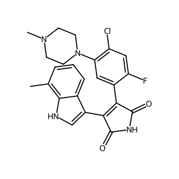 Cc1cccc2c(C3=C(c4cc(N5CCN(C)CC5)c(Cl)cc4F)C(=O)NC3=O)c[nH]c12